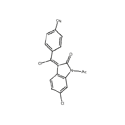 CC(=O)N1C(=O)C(=C(Cl)c2ccc(C#N)cc2)c2ccc(Cl)cc21